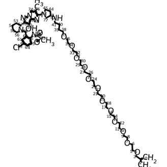 C=C(C)COCCOCCOCCOCCOCCOCCOCCOCCOCCOCCOCCOCCCCN[C@H]1CCN(c2nc3cc([C@@H]4CCCCN4C(=O)c4cc(Cl)ccc4NS(C)(=O)=O)nn3cc2C)C1